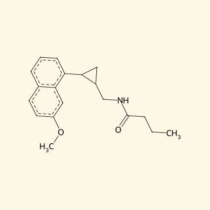 CCCC(=O)NCC1CC1c1cccc2ccc(OC)cc12